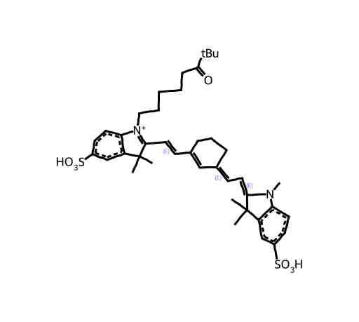 CN1/C(=C/C=C2C=C(/C=C/C3=[N+](CCCCCC(=O)C(C)(C)C)c4ccc(S(=O)(=O)O)cc4C3(C)C)CCC/2)C(C)(C)c2cc(S(=O)(=O)O)ccc21